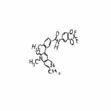 Cc1cc2c(cn1)cc(-c1cc(C(=O)Nc3ccc4c(c3)OC(F)(F)O4)ccc1C)c(=O)n2C